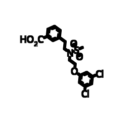 CS(=O)(=O)N(CCOc1cc(Cl)cc(Cl)c1)CCc1cccc(C(=O)O)c1